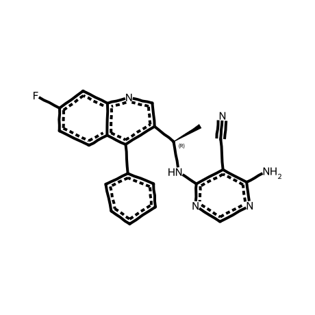 C[C@@H](Nc1ncnc(N)c1C#N)c1cnc2cc(F)ccc2c1-c1ccccc1